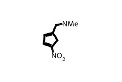 CNCC1=CC=C([N+](=O)[O-])C1